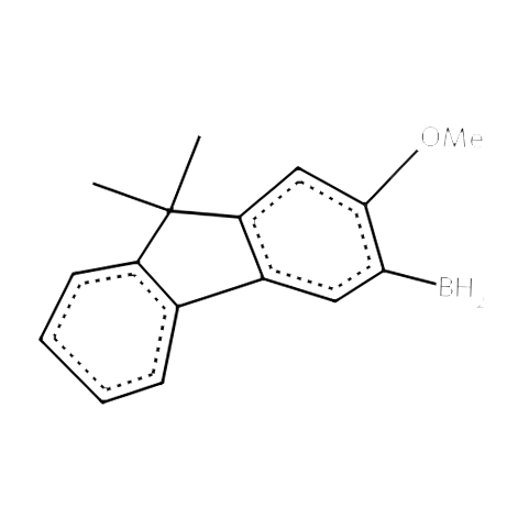 Bc1cc2c(cc1OC)C(C)(C)c1ccccc1-2